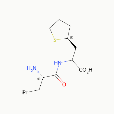 CC(C)C[C@H](N)C(=O)NC(C[C@@H]1CCCS1)C(=O)O